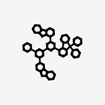 c1ccc(-c2cc(-c3ccc4sc5ccccc5c4c3)cc(-c3nc(-c4cccc5c4-c4ccccc4C5(c4ccccc4)c4ccccc4)nc(-c4cccc5c4sc4ccccc45)n3)c2)cc1